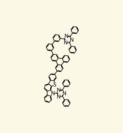 c1ccc(-c2nc(-c3ccccc3)nc(-c3cccc(-c4cccc(-c5ccc6c(c5)c5ccccc5c5ccc(-c7ccc8c(c7)sc7c8ccc8c9ccccc9n(-c9nc(-c%10ccccc%10)nc(-c%10ccccc%10)n9)c87)cc56)c4)c3)n2)cc1